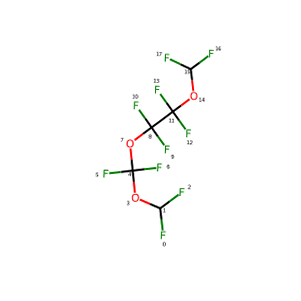 FC(F)OC(F)(F)OC(F)(F)C(F)(F)OC(F)F